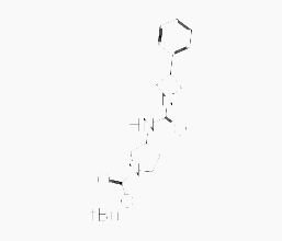 CC(C)(C)OC(=O)N1CCC(NC(=O)N2CC(c3ccccc3)C2)C1